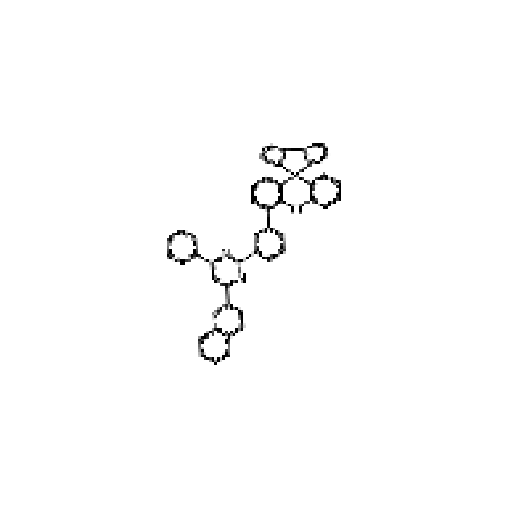 c1ccc(-c2cc(-c3ccc4ccccc4c3)nc(-c3cccc(-c4cccc5c4Oc4ccccc4C54c5ccccc5-c5ccccc54)c3)n2)cc1